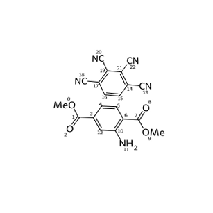 COC(=O)c1ccc(C(=O)OC)c(N)c1.N#Cc1ccc(C#N)c(C#N)c1C#N